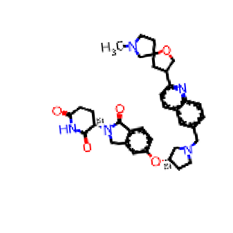 CN1CCC2(CC(c3ccc4cc(CN5CC[C@H](Oc6ccc7c(c6)CN([C@H]6CCC(=O)NC6=O)C7=O)C5)ccc4n3)CO2)C1